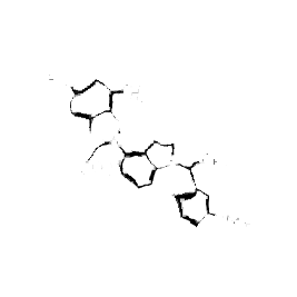 COc1cccc(C(C=O)N2CCc3c(N(CC(=O)O)Sc4c(C)cc(C)cc4C)cccc32)c1